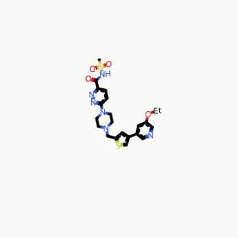 CCOc1cncc(-c2csc(CN3CCN(c4ccc(C(=O)NS(C)(=O)=O)nn4)CC3)c2)c1